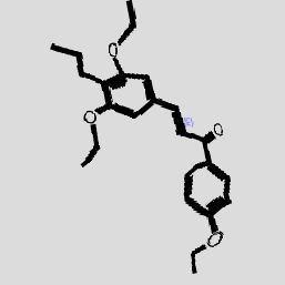 CCCc1c(OCC)cc(/C=C/C(=O)c2ccc(OCC)cc2)cc1OCC